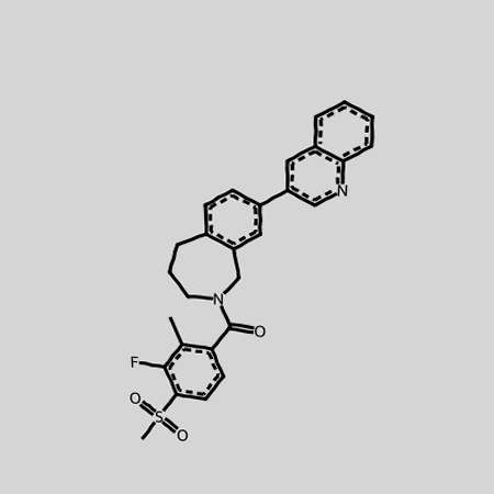 Cc1c(C(=O)N2CCCc3ccc(-c4cnc5ccccc5c4)cc3C2)ccc(S(C)(=O)=O)c1F